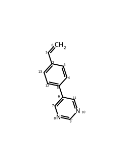 C=Cc1ccc(-c2cn[c]nc2)cc1